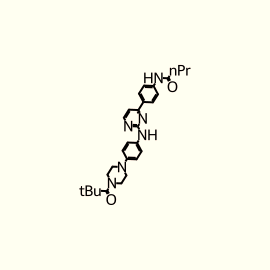 CCCC(=O)Nc1ccc(-c2ccnc(Nc3ccc(N4CCN(C(=O)C(C)(C)C)CC4)cc3)n2)cc1